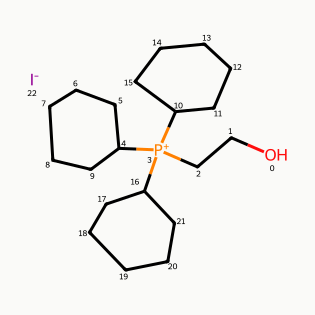 OCC[P+](C1CCCCC1)(C1CCCCC1)C1CCCCC1.[I-]